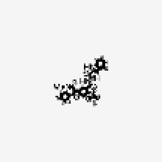 CNC(=O)c1c(-c2ccc(F)cc2)oc2cc(N(C)S(C)(=O)=O)c(C(=O)NNC(=O)c3cc4c(F)cccc4[nH]3)cc12